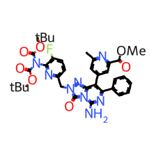 COC(=O)c1cc(-c2c(-c3ccccc3)nc(N)n3c(=O)n(Cc4ccc(F)c(N(C(=O)OC(C)(C)C)C(=O)OC(C)(C)C)n4)nc23)cc(C)n1